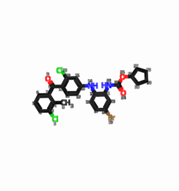 Cc1c(Cl)cccc1C(=O)c1ccc(Nc2ccc(Br)cc2NC(=O)OC2CCCC2)cc1Cl